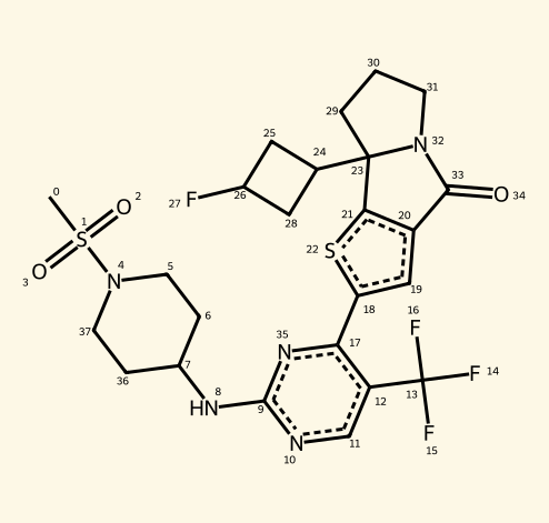 CS(=O)(=O)N1CCC(Nc2ncc(C(F)(F)F)c(-c3cc4c(s3)C3(C5CC(F)C5)CCCN3C4=O)n2)CC1